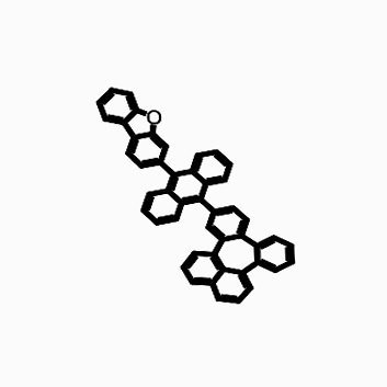 c1ccc2c(c1)-c1ccc(-c3c4ccccc4c(-c4ccc5c(c4)oc4ccccc45)c4ccccc34)cc1-c1cccc3cccc-2c13